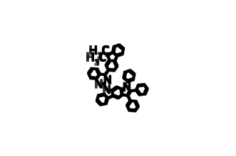 CC1(C)c2ccccc2-c2ccc(-c3nc(-n4c5ccccc5c5cc6c(-c7ccccc7)c(-c7ccccc7)n(-c7ccccc7)c6cc54)nc4ccccc34)cc21